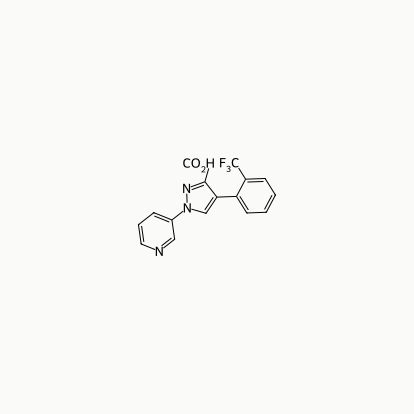 O=C(O)c1nn(-c2cccnc2)cc1-c1ccccc1C(F)(F)F